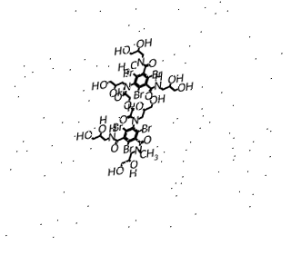 CN(CC(O)CO)C(=O)c1c(Br)c(C(=O)NCC(O)CO)c(Br)c(N(CC(O)CO)C(=O)COCC(=O)N(CC(O)CO)c2c(Br)c(C(=O)NCC(O)CO)c(Br)c(C(=O)N(C)CC(O)CO)c2Br)c1Br